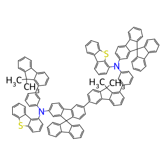 CC1(C)c2ccccc2-c2cccc(-c3cccc(N(c4ccc5c(c4)C4(c6ccccc6-c6ccccc64)c4ccc(-c6ccc7c(c6)-c6cccc(-c8cccc(N(c9ccc%10c(c9)C9(c%11ccccc%11-c%11ccccc%119)c9ccccc9-%10)c9cccc%10c9sc9ccccc9%10)c8)c6C7(C)C)cc4-5)c4cccc5sc6ccccc6c45)c3)c21